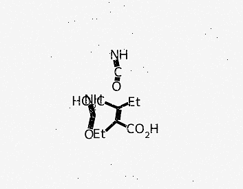 CCC(C(=O)O)=C(CC)C(=O)O.N=C=O.N=C=O